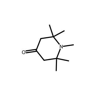 CN1C(C)(C)CC(=O)CC1(C)C